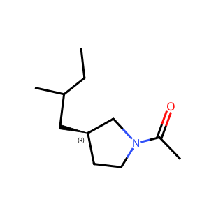 CCC(C)C[C@@H]1CCN(C(C)=O)C1